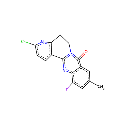 Cc1cc(I)c2nc3n(c(=O)c2c1)CCc1nc(Cl)ccc1-3